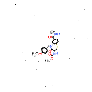 CCNC(=O)c1ccc2c(c1)N(Cc1ccc(OC(F)(F)F)cc1)C(=O)[C@@H](NC(=O)OC(C)(C)C)CS2